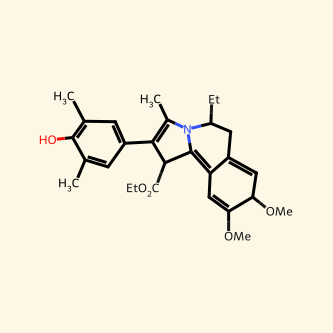 CCOC(=O)C1C(c2cc(C)c(O)c(C)c2)=C(C)N2C1=C1C=C(OC)C(OC)C=C1CC2CC